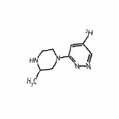 [2H]c1cnnc(N2CCNC(C)C2)c1